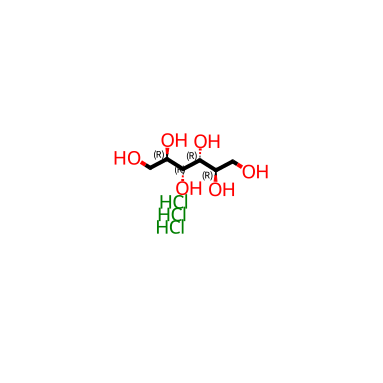 Cl.Cl.Cl.OC[C@@H](O)[C@@H](O)[C@H](O)[C@H](O)CO